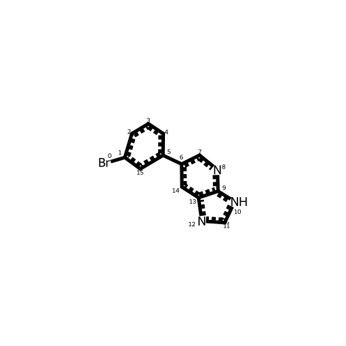 Brc1cccc(-c2cnc3[nH][c]nc3c2)c1